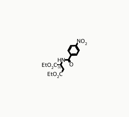 CCOC(=O)C[C@H](NC(=O)c1ccc([N+](=O)[O-])cc1)C(=O)OCC